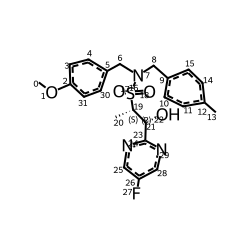 COc1ccc(CN(Cc2ccc(C)cc2)S(=O)(=O)[C@@H](C)[C@H](O)c2ncc(F)cn2)cc1